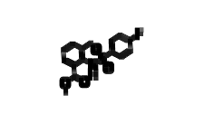 COC(=O)c1cccc(C)c1NS(=O)(=O)c1ccc(F)cc1